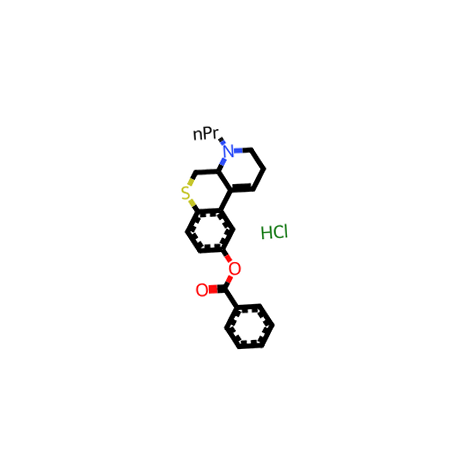 CCCN1CCC=C2c3cc(OC(=O)c4ccccc4)ccc3SCC21.Cl